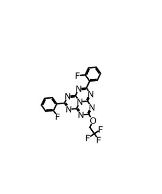 Fc1ccccc1C1=NC2=NC(OCC(F)(F)F)=NC3=NC(c4ccccc4F)=NC(=N1)N23